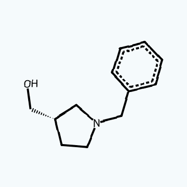 OC[C@H]1CCN(Cc2ccccc2)C1